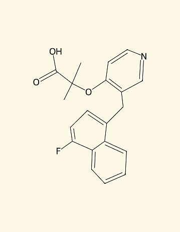 CC(C)(Oc1ccncc1Cc1ccc(F)c2ccccc12)C(=O)O